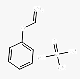 C=COc1ccccc1.O=P(O)(O)O